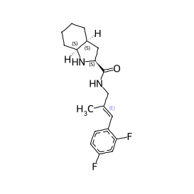 C/C(=C\c1ccc(F)cc1F)CNC(=O)[C@@H]1C[C@@H]2CCCC[C@@H]2N1